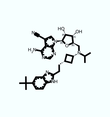 CC(C)N(C[C@H]1O[C@@H](n2cc(C#N)c3c(N)ncnc32)[C@H](O)[C@@H]1O)[C@H]1C[C@@H](CCc2nc3cc(C(C)(C)C)ccc3[nH]2)C1